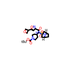 CC(C)(C)OC(=O)N1CCC(CS(=O)(=O)N2[C@@H]3CC[C@H]2CC(NC(=O)c2cc(C4COC4)on2)C3)CC1